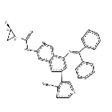 COc1ccncc1-c1cc(N=C(c2ccccc2)c2ccccc2)c2cnc(NC(=O)[C@@H]3C[C@H]3F)cc2c1